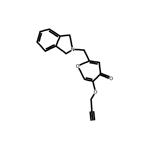 C#CCOc1coc(CN2Cc3ccccc3C2)cc1=O